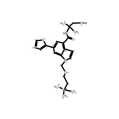 COCC(C)(C)NC(=O)c1cc(-c2cncs2)cc2c1ccn2COCC[Si](C)(C)C